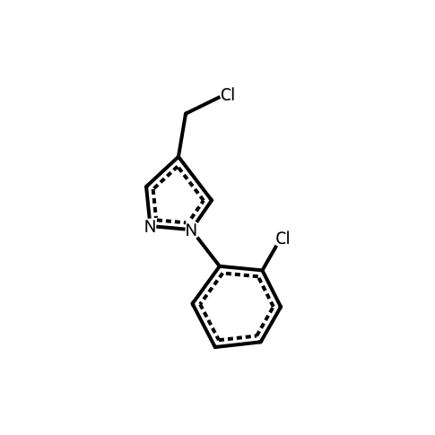 ClCc1cnn(-c2ccccc2Cl)c1